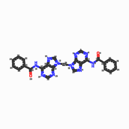 O=C(Nc1ncnc2c1nc[n]2[Zn][n]1cnc2c(NC(=O)c3ccccc3)ncnc21)c1ccccc1